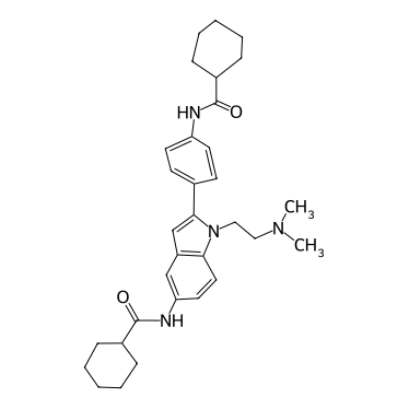 CN(C)CCn1c(-c2ccc(NC(=O)C3CCCCC3)cc2)cc2cc(NC(=O)C3CCCCC3)ccc21